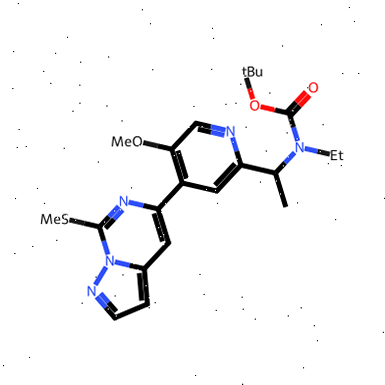 CCN(C(=O)OC(C)(C)C)C(C)c1cc(-c2cc3ccnn3c(SC)n2)c(OC)cn1